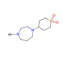 CC(C)N1CCCN(C2CCS(=O)(=O)CC2)CC1